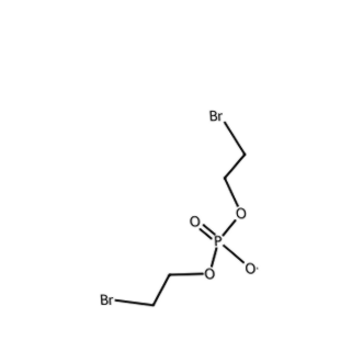 [O]P(=O)(OCCBr)OCCBr